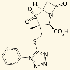 C[C@]1(CSc2nnnn2-c2ccccc2)[C@H](C(=O)O)N2C(=O)C[C@@H]2S1(=O)=O